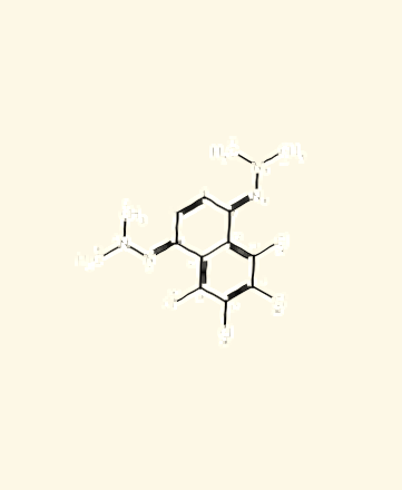 CN(C)N=C1C=CC(=NN(C)C)c2c(Cl)c(Cl)c(Cl)c(Cl)c21